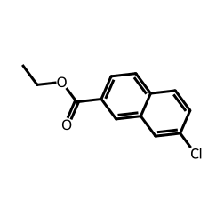 CCOC(=O)c1ccc2ccc(Cl)cc2c1